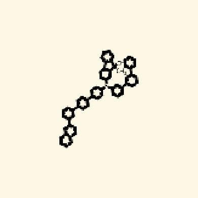 CC1(C)c2ccccc2-c2ccc(N(c3ccc(-c4ccc(-c5cccc(-c6ccc7ccccc7c6)c5)cc4)cc3)c3cccc(-c4cccc(-c5ccccc5)c4)c3)cc21